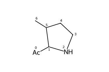 CC(=O)C1NCCC1C